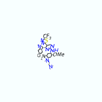 COc1cc(N(C)CCN(C)C)c([N+](=O)[O-])cc1Nc1ncc(-c2nnc(C(F)(F)F)s2)c(-c2cn(C)c3ccccc23)n1